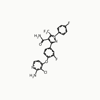 NC(=O)c1c(-c2ccc(Oc3ccnc(N)c3Cl)c(F)c2)nn(-c2ccc(F)cc2)c1C(F)(F)F